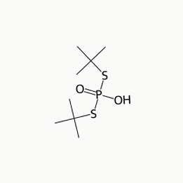 CC(C)(C)SP(=O)(O)SC(C)(C)C